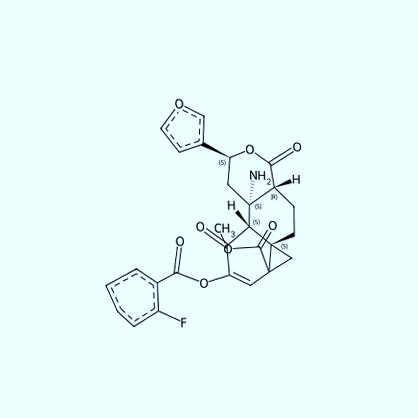 COC(=O)C12C=C(OC(=O)c3ccccc3F)C(=O)[C@@H]3[C@@]4(N)C[C@@H](c5ccoc5)OC(=O)[C@@H]4CC[C@]31C2